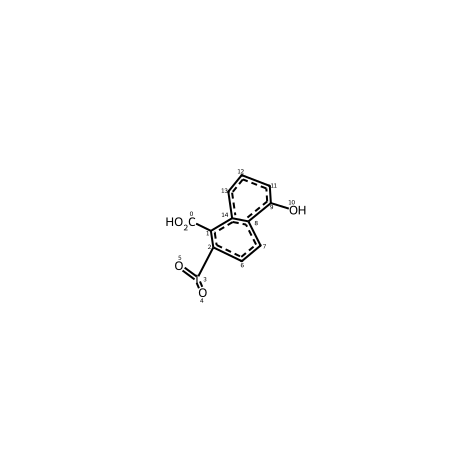 O=C(O)c1c(I(=O)=O)ccc2c(O)cccc12